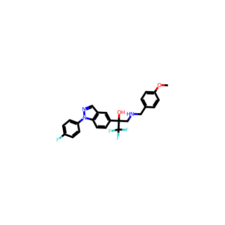 COc1ccc(CNCC(O)(c2ccc3c(cnn3-c3ccc(F)cc3)c2)C(F)(F)F)cc1